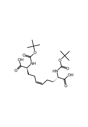 CC(C)(C)OC(=O)N[C@@H](CC/C=C\CC[C@H](NC(=O)OC(C)(C)C)C(=O)O)C(=O)O